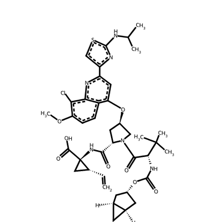 C=C[C@@H]1C[C@]1(NC(=O)[C@@H]1C[C@@H](Oc2cc(-c3csc(NC(C)C)n3)nc3c(Cl)c(OC)ccc23)CN1C(=O)[C@@H](NC(=O)O[C@H]1C[C@@H]2C[C@@H]2C1)C(C)(C)C)C(=O)O